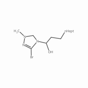 CCCCCCCCCC(O)N1CN(C)N=C1Br